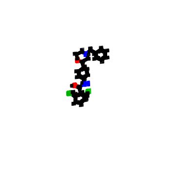 O=C(Nc1ccc(C2CN(Cc3ccccc3)CCO2)cc1)c1c(Cl)cccc1Cl